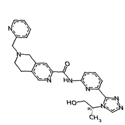 C[C@H](CO)n1cnnc1-c1cccc(NC(=O)c2cc3c(cn2)CCN(Cc2ccccn2)C3)n1